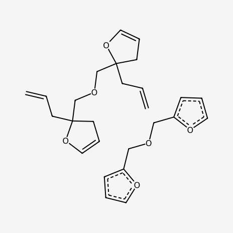 C=CCC1(COCC2(CC=C)CC=CO2)CC=CO1.c1coc(COCc2ccco2)c1